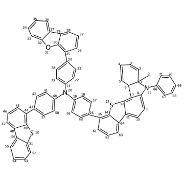 CC12C=CC=CC1c1c(ccc3c1sc1c(-c4ccc(N(c5ccc(-c6cccc7c6oc6ccccc67)cc5)c5ccc(-c6cccc7c6sc6ccccc67)cc5)cc4)cccc13)N2c1ccccc1